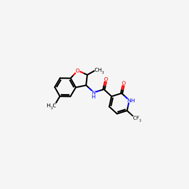 Cc1ccc2c(c1)C(NC(=O)c1ccc(C(F)(F)F)[nH]c1=O)C(C)O2